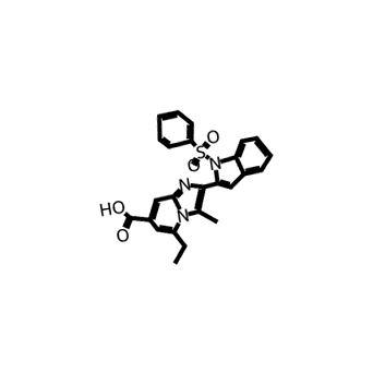 CCc1cc(C(=O)O)cc2nc(-c3cc4ccccc4n3S(=O)(=O)c3ccccc3)c(C)n12